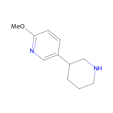 COc1ccc(C2CCCNC2)cn1